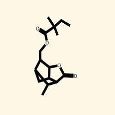 CCC(C)(C)C(=O)OCC1C2CC3C1OC(=O)C3C2C